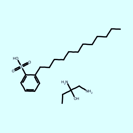 CCC(N)(O)CN.CCCCCCCCCCCCc1ccccc1S(=O)(=O)O